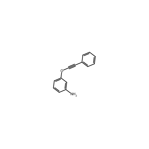 Nc1cccc(OC#Cc2ccccc2)c1